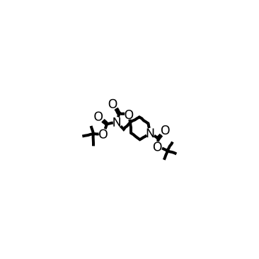 CC(C)(C)OC(=O)N1CCC2(CC1)CN(C(=O)OC(C)(C)C)C(=O)O2